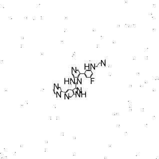 CN(C)CCNc1cc(F)cc(-c2cncc3[nH]c(-c4n[nH]c5cnc(-c6cnccn6)cc45)nc23)c1